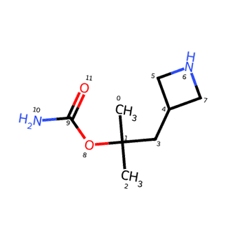 CC(C)(CC1CNC1)OC(N)=O